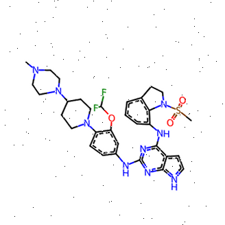 CN1CCN(C2CCN(c3ccc(Nc4nc(Nc5cccc6c5N(S(C)(=O)=O)CC6)c5cc[nH]c5n4)cc3OC(F)F)CC2)CC1